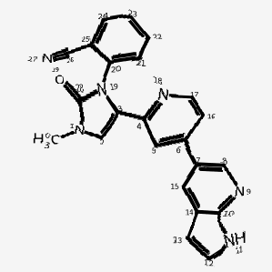 Cn1cc(-c2cc(-c3cnc4[nH]ccc4c3)ccn2)n(-c2ccccc2C#N)c1=O